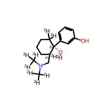 [2H]O[C@@]1(c2cccc(O)c2)C([2H])([2H])CCC[C@@]1([2H])CN(C([2H])([2H])[2H])C([2H])([2H])[2H]